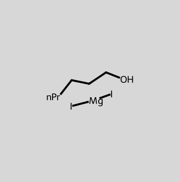 CCCCCCO.[I][Mg][I]